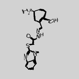 Bc1ccc(O)c(/C=N/NC(=O)CSc2nc3ccccc3n2C)c1